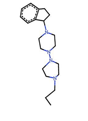 CCCN1CCN(N2CCN(C3CCc4ccccc43)CC2)CC1